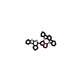 C1=CCCC(n2c3ccccc3c3ccc4c5ccccc5n(-c5cccc(C6=NC7Sc8ccccc8C7c7ccccc76)c5)c4c32)=C1